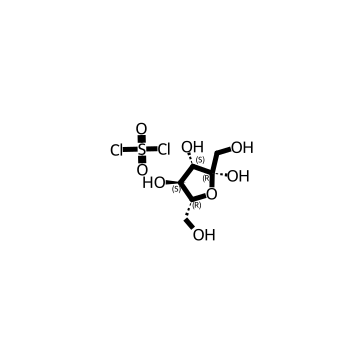 O=S(=O)(Cl)Cl.OC[C@H]1O[C@](O)(CO)[C@@H](O)[C@@H]1O